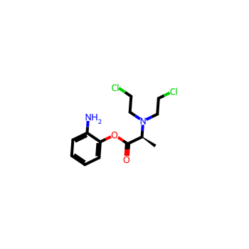 C[C@@H](C(=O)Oc1ccccc1N)N(CCCl)CCCl